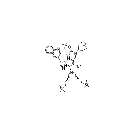 CC(C)(C)OC(=O)N(Cc1nc2c(-c3cnc4ccccc4c3)cnn2c(N(COCC[Si](C)(C)C)COCC[Si](C)(C)C)c1Br)C1CCOCC1